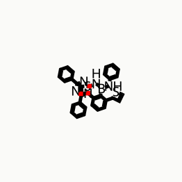 C1=CC(c2cccc(C3C=CS3)c2B(Nc2ccccc2)Nc2nc(-c3ccccc3)nc(-c3ccccc3)n2)S1